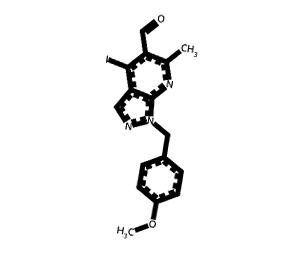 COc1ccc(Cn2ncc3c(I)c(C=O)c(C)nc32)cc1